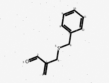 C=C([C]=O)CSCc1ccccc1